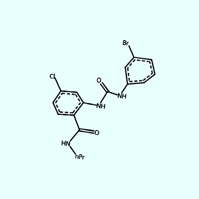 CCCNC(=O)c1ccc(Cl)cc1NC(=O)Nc1cccc(Br)c1